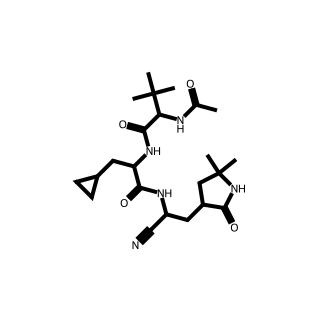 CC(=O)NC(C(=O)NC(CC1CC1)C(=O)NC(C#N)CC1CC(C)(C)NC1=O)C(C)(C)C